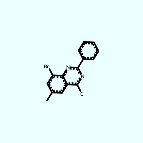 Cc1cc(Br)c2nc(-c3ccccc3)nc(Cl)c2c1